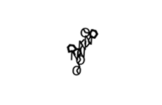 COCCOc1nc(N2CCN(c3ccccc3OC)CC2)c2ccccc2n1